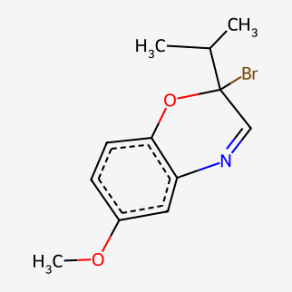 COc1ccc2c(c1)N=CC(Br)(C(C)C)O2